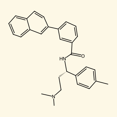 Cc1ccc([C@H](CCN(C)C)NC(=O)c2cccc(-c3ccc4ccccc4c3)c2)cc1